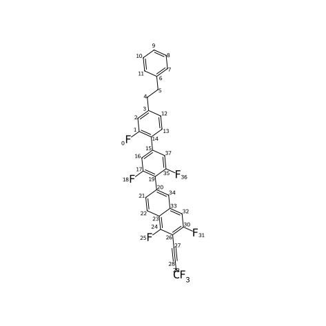 Fc1cc(CCc2ccccc2)ccc1-c1cc(F)c(-c2ccc3c(F)c(C#CC(F)(F)F)c(F)cc3c2)c(F)c1